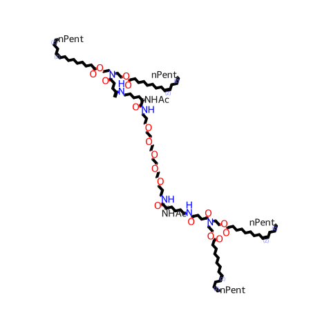 C=C(CCC(=O)N(CCOC(=O)CCCCCCC/C=C\C/C=C\CCCCC)CCOC(=O)CCCCCCC/C=C\C/C=C\CCCCC)NCCCC[C@H](NC(C)=O)C(=O)NCCCOCCOCCOCCOCCOCCCNC(=O)[C@H](CCCCNC(=O)CCC(=O)N(CCOC(=O)CCCCCCC/C=C\C/C=C\CCCCC)CCOC(=O)CCCCCCC/C=C\C/C=C\CCCCC)NC(C)=O